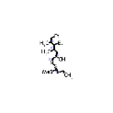 C=C/C=C(/SC)S\N=C/C(C)=C\C(C)=C(CC)\C(C)=C/CC